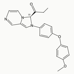 CCC(=O)[C@@H]1N2C=CN=CC2=CN1c1ccc(Oc2ccc(OC)cc2)cc1